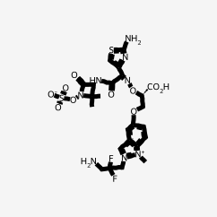 C[n+]1c2ccc(OC[C@H](O/N=C(\C(=O)N[C@@H]3C(=O)N(OS(=O)(=O)[O-])C3(C)C)c3csc(N)n3)C(=O)O)cc2cn1CC(F)(F)CN